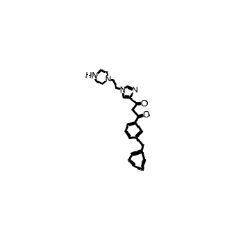 O=C(CC(=O)c1cn(CCN2CCNCC2)cn1)c1cccc(Cc2ccccc2)c1